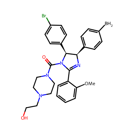 Bc1ccc([C@H]2N=C(c3ccccc3OC)N(C(=O)N3CCN(CCO)CC3)[C@H]2c2ccc(Br)cc2)cc1